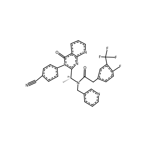 C[C@H](c1nc2ncccc2c(=O)n1-c1ccc(C#N)cc1)N(Cc1cccnc1)C(=O)Cc1ccc(F)c(C(F)(F)F)c1